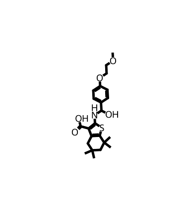 COCCOc1ccc(C(O)Nc2sc3c(c2C(=O)O)CC(C)(C)CC3(C)C)cc1